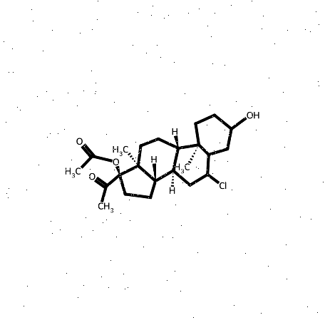 CC(=O)O[C@]1(C(C)=O)CC[C@H]2[C@@H]3CC(Cl)C4CC(O)CC[C@]4(C)[C@H]3CC[C@@]21C